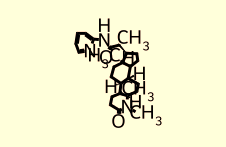 CC(C(=O)Nc1ccccn1)[C@H]1CC[C@H]2[C@@H]3CC[C@H]4N(C)C(=O)CC[C@]4(C)[C@H]3CC[C@]12C